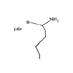 Br.[CH2]CCC(N)Br